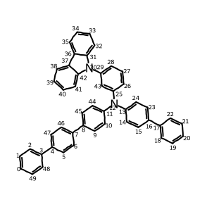 c1ccc(-c2ccc(-c3ccc(N(c4ccc(-c5ccccc5)cc4)c4cccc(-n5c6ccccc6c6ccccc65)c4)cc3)cc2)cc1